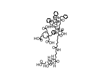 O=C(O)CC[C@H](NC(=O)N[C@@H](CCCCNC(=O)CCCCCCC(=O)NC(CCCCNC(=O)C(Cc1ccccc1)NC(=O)C(Cc1ccccc1)NC(=O)[C@H](Cc1ccccc1)NC(=S)Nc1ccc(CC2CN(CC(=O)O)CCN(CC(=O)O)CCN2CC(=O)O)cc1)C(=O)O)C(=O)O)C(=O)O